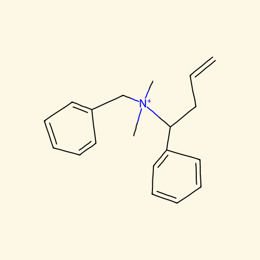 C=CCC(c1ccccc1)[N+](C)(C)Cc1ccccc1